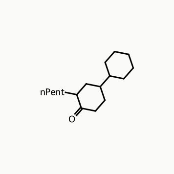 CCCCCC1CC(C2CCCCC2)CCC1=O